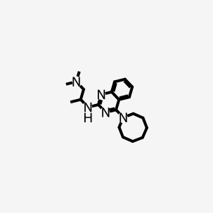 CC(CN(C)C)Nc1nc(N2CCCCCCC2)c2ccccc2n1